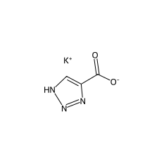 O=C([O-])c1c[nH]nn1.[K+]